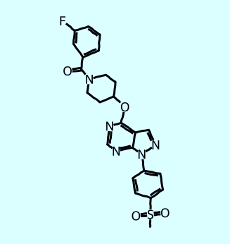 CS(=O)(=O)c1ccc(-n2ncc3c(OC4CCN(C(=O)c5cccc(F)c5)CC4)ncnc32)cc1